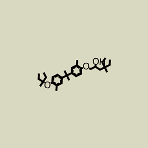 CCC(C)(CC)CC(O)COc1ccc(C(C)(C)c2ccc(OC(C)(CC)CC)c(C)c2)cc1C